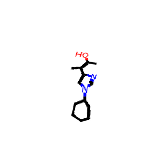 C/C(O)=C(/C)c1cn(C2CCCCC2)cn1